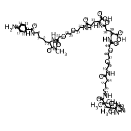 CNC(=O)C(CCCCNC(=O)c1ccc(N)cc1)NC(=O)COCCOCCNC(=O)CCC(NC(=O)CCC(NC(=O)COCCOCCNC(=O)CCCSNC(=O)C(C)(C)CC(C)(C)c1nnn[nH]1)C(=O)O)C(=O)O